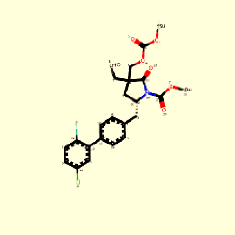 CC(C)(C)OC(=O)OCC1(CC=O)C[C@@H](Cc2ccc(-c3cc(Cl)ccc3F)cc2)N(C(=O)OC(C)(C)C)C1=O